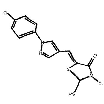 CCN1C(=O)/C(=C/c2cnn(-c3ccc(Cl)cc3)c2)SC1S